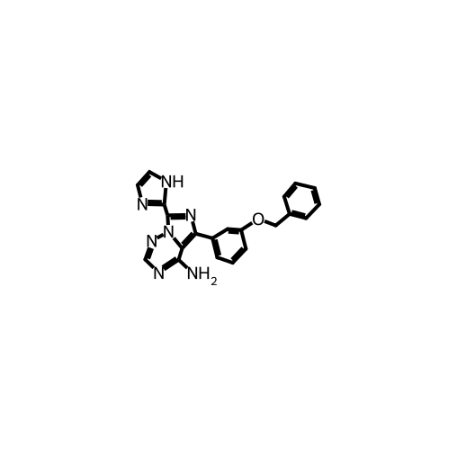 Nc1ncnn2c(-c3ncc[nH]3)nc(-c3cccc(OCc4ccccc4)c3)c12